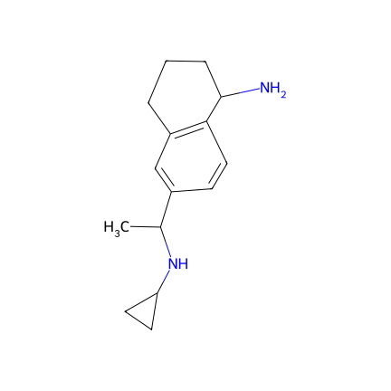 CC(NC1CC1)c1ccc2c(c1)CCCC2N